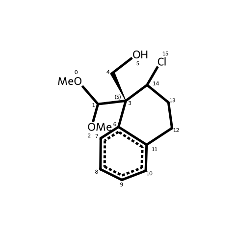 COC(OC)[C@@]1(CO)c2ccccc2CCC1Cl